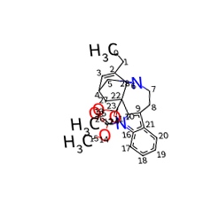 CCC1=CC2CN3CCc4c(n(C(=O)OC)c5ccccc45)C(C(=O)OC)(C2)C13